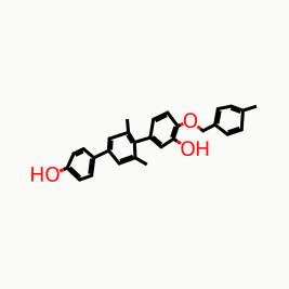 Cc1ccc(COc2ccc(-c3c(C)cc(-c4ccc(O)cc4)cc3C)cc2O)cc1